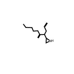 C=CCC(C(=C)CCCCC)C1CN1